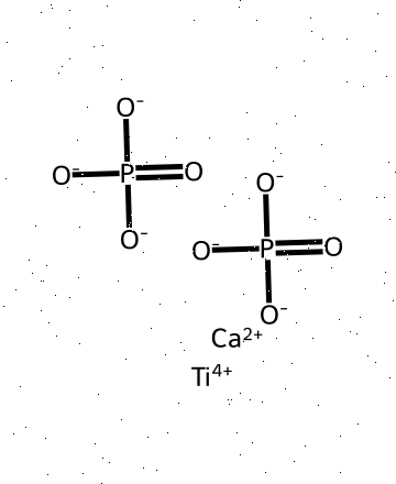 O=P([O-])([O-])[O-].O=P([O-])([O-])[O-].[Ca+2].[Ti+4]